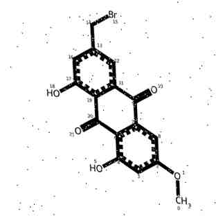 COc1cc(O)c2c(c1)C(=O)c1cc(CBr)cc(O)c1C2=O